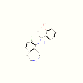 CC(Nc1c(Cl)ccc2c1CCNCC2)c1ccccc1OC(F)(F)F